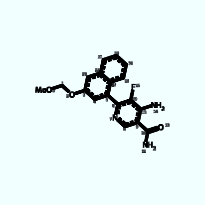 COCOc1cc(-c2ncc(C(N)=O)c(N)c2F)c2ccccc2c1